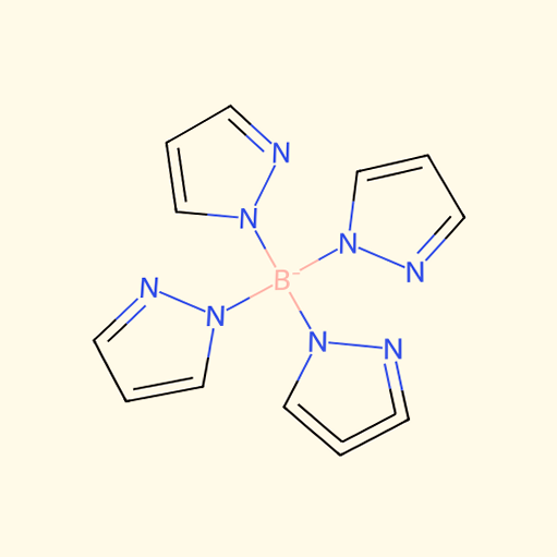 C1=C=NN([B-](n2cccn2)(n2cccn2)n2cccn2)C=1